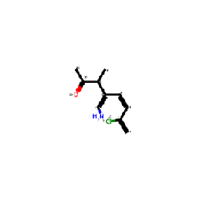 C=C(Cl)/C=C\C(=C/N)C(C)C(C)=O